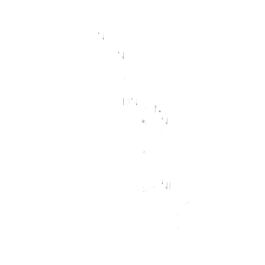 CN1CCN(CCCNc2nnc(-c3ccc(NC(=O)c4ccccc4F)cc3)o2)CC1